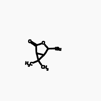 CC(C)(C)C1OC(=O)C2C1C2(C)C